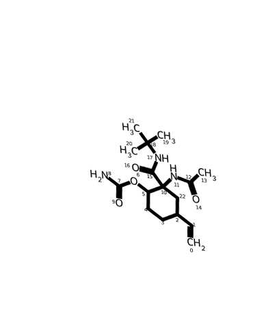 C=CC1CCC(OC(N)=O)C(NC(C)=O)(C(=O)NC(C)(C)C)C1